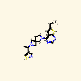 CC(c1cnsc1)N1CC2(CCN(c3ncnc4sc(CC(F)(F)F)cc34)C2)C1